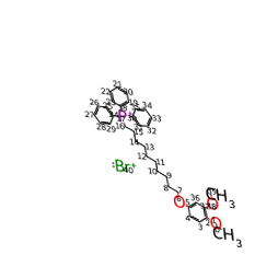 COc1ccc(OCCCCCCCCCC[P+](c2ccccc2)(c2ccccc2)c2ccccc2)cc1OC.[Br+]